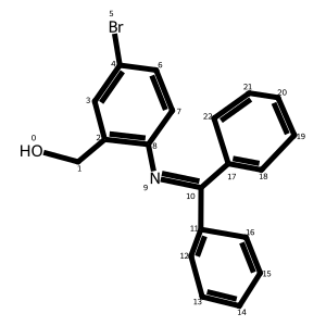 OCc1cc(Br)ccc1N=C(c1ccccc1)c1ccccc1